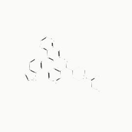 Cn1ccc2ccc(-c3cc(NC(c4cccnc4)C4CCN(C(=O)CN)CC4)cc4nccnc34)cc21